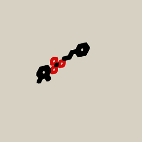 Cc1cccc(OC(=O)OCCCc2ccccc2)c1C